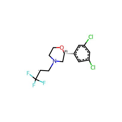 FC(F)(F)[CH]CN1CCO[C@H](c2cc(Cl)cc(Cl)c2)C1